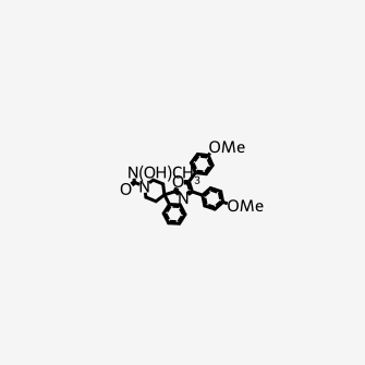 COc1ccc(-c2nc(C3(c4ccccc4)CCN(C(=O)N(C)O)CC3)oc2-c2ccc(OC)cc2)cc1